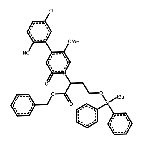 COc1cn(C(CCO[Si](c2ccccc2)(c2ccccc2)C(C)(C)C)C(=O)OCc2ccccc2)c(=O)cc1-c1cc(Cl)ccc1C#N